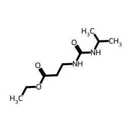 CCOC(=O)CCNC(=O)NC(C)C